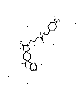 CN(C)[C@]1(c2ccccc2)CC[C@@]2(CC1)CC(=O)N(CCCC(=O)NCC1CCS(=O)(=O)CC1)C2